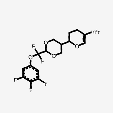 CCCC1=COC(C2COC(C(F)(F)Oc3cc(F)c(F)c(F)c3)OC2)CC1